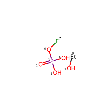 CCO.O=P(O)(O)OF